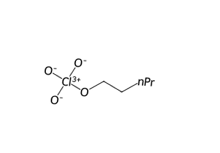 CCCCCO[Cl+3]([O-])([O-])[O-]